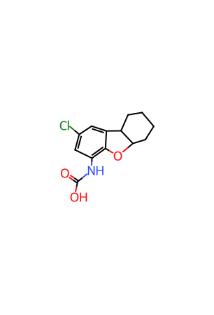 O=C(O)Nc1cc(Cl)cc2c1OC1CCCCC21